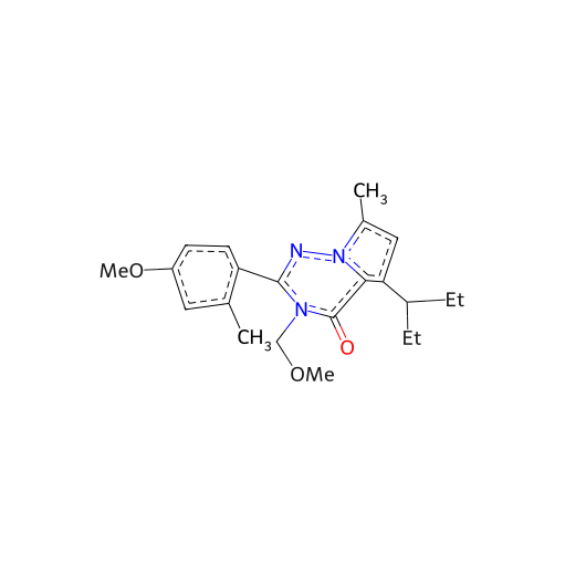 CCC(CC)c1cc(C)n2nc(-c3ccc(OC)cc3C)n(COC)c(=O)c12